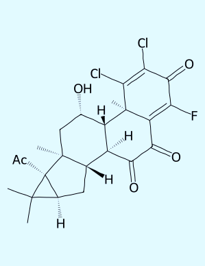 CC(=O)[C@@]12[C@@H](C[C@H]3[C@@H]4C(=O)C(=O)C5=C(F)C(=O)C(Cl)=C(Cl)[C@]5(C)[C@H]4[C@@H](O)C[C@@]31C)C2(C)C